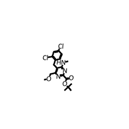 CNc1nc(C(=O)OC(C)(C)C)nc(COC)c1Cc1ccc(Cl)cc1Cl